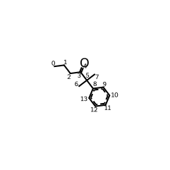 CCCC(=O)C(C)(C)c1ccccc1